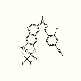 COc1cc2ncc3c(c(-c4ccc(C#N)cc4F)nn3C)c2cc1OS(=O)(=O)C(F)(F)F